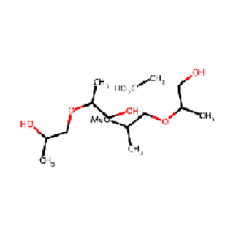 CC(=O)O.CC(O)COC(C)CO.COC(C)COC(C)CO